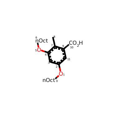 CCCCCCCCOc1cc(OCCCCCCCC)c(C)c(C(=O)O)c1